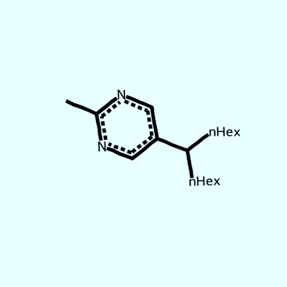 CCCCCCC(CCCCCC)c1cnc(C)nc1